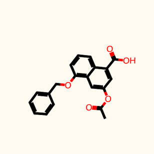 CC(=O)Oc1cc(C(=O)O)c2cccc(OCc3ccccc3)c2c1